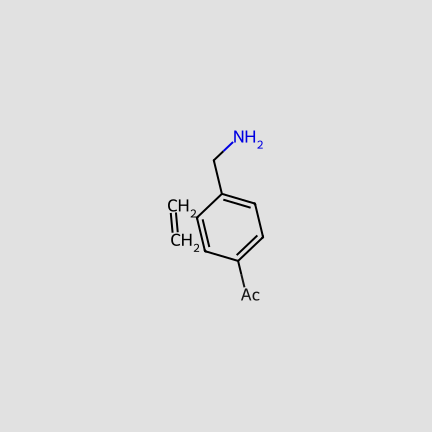 C=C.CC(=O)c1ccc(CN)cc1